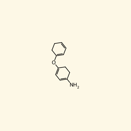 NC1=CC=C(OC2=CC=CCC2)CC1